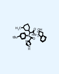 CC1CCCC(C(C(=O)N[C@H]2c3ccccc3C[C@H]2O)N(C(=O)c2c[nH]cn2)c2ccc(C(C)(C)C)cc2)C1